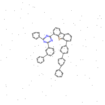 c1ccc(-c2ccc(-c3ccc(-c4cccc5c4sc4c(-c6nc(-c7ccccc7)nc(-c7cccc(-c8ccccc8)c7)n6)cccc45)cc3)cc2)cc1